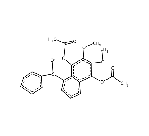 COc1c(OC)c(OC(C)=O)c2c([S+]([O-])c3ccccc3)cccc2c1OC(C)=O